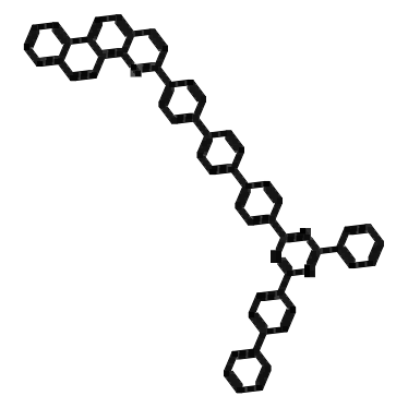 c1ccc(-c2ccc(-c3nc(-c4ccccc4)nc(-c4ccc(-c5ccc(-c6ccc(-c7ccc8ccc9c%10ccccc%10ccc9c8n7)cc6)cc5)cc4)n3)cc2)cc1